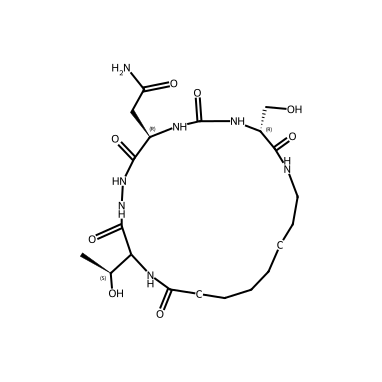 C[C@H](O)C1NC(=O)CCCCCCCNC(=O)[C@@H](CO)NC(=O)N[C@H](CC(N)=O)C(=O)NNC1=O